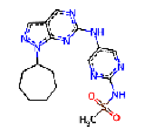 CS(=O)(=O)Nc1ncc(Nc2ncc3cnn(C4CCCCCC4)c3n2)cn1